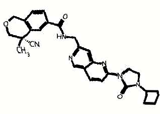 C[C@@]1(C#N)COCc2ccc(C(=O)NCc3cc4nc(N5CCN(C6CCC6)C5=O)ccc4cn3)cc21